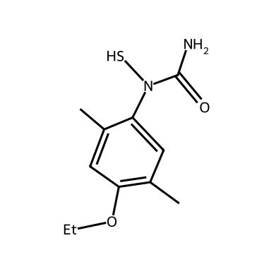 CCOc1cc(C)c(N(S)C(N)=O)cc1C